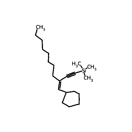 CCCCCCCCC(C#C[Si](C)(C)C)=CC1CCCCC1